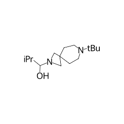 CC(C)C(O)N1CC2(CCN(C(C)(C)C)CC2)C1